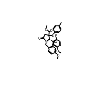 COC(=O)C1(Sc2ccc(C)cc2)CC(=O)N(Cc2ccc(OC)cc2OC)[C@@H]1c1cc(OC)ccc1F